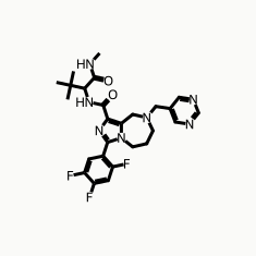 CNC(=O)C(NC(=O)c1nc(-c2cc(F)c(F)cc2F)n2c1CN(Cc1cncnc1)CCC2)C(C)(C)C